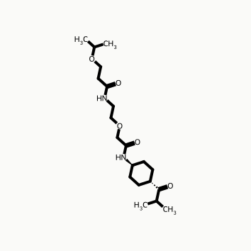 CC(C)OCCC(=O)NCCOCC(=O)N[C@H]1CC[C@H](C(=O)C(C)C)CC1